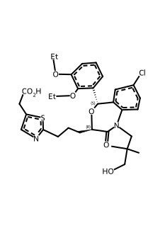 CCOc1cccc([C@H]2O[C@H](CCCc3ncc(CC(=O)O)s3)C(=O)N(CC(C)(C)CO)c3ccc(Cl)cc32)c1OCC